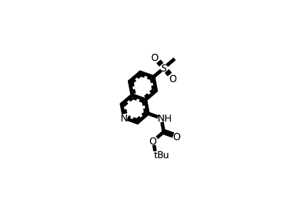 CC(C)(C)OC(=O)Nc1cncc2ccc(S(C)(=O)=O)cc12